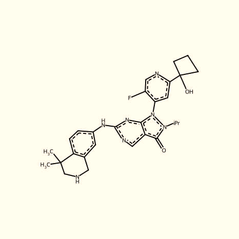 CC(C)n1c(=O)c2cnc(Nc3ccc4c(c3)CNCC4(C)C)nc2n1-c1cc(C2(O)CCC2)ncc1F